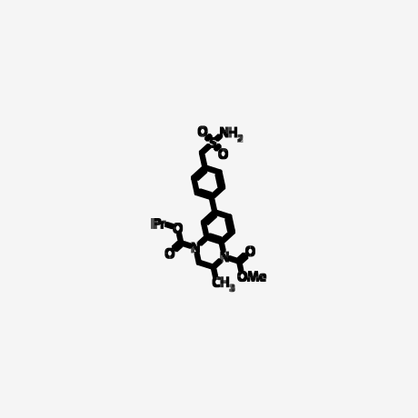 COC(=O)N1c2ccc(-c3ccc(CS(N)(=O)=O)cc3)cc2N(C(=O)OC(C)C)CC1C